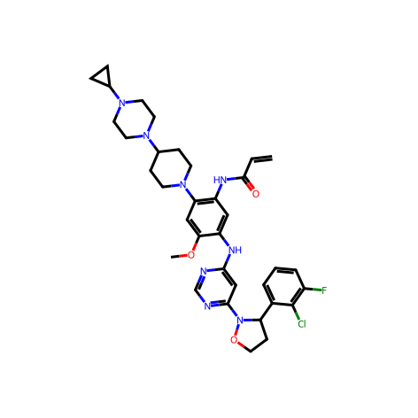 C=CC(=O)Nc1cc(Nc2cc(N3OCCC3c3cccc(F)c3Cl)ncn2)c(OC)cc1N1CCC(N2CCN(C3CC3)CC2)CC1